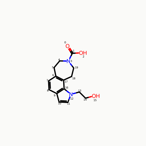 O=C(O)N1CCc2ccc3ccn(CCO)c3c2CC1